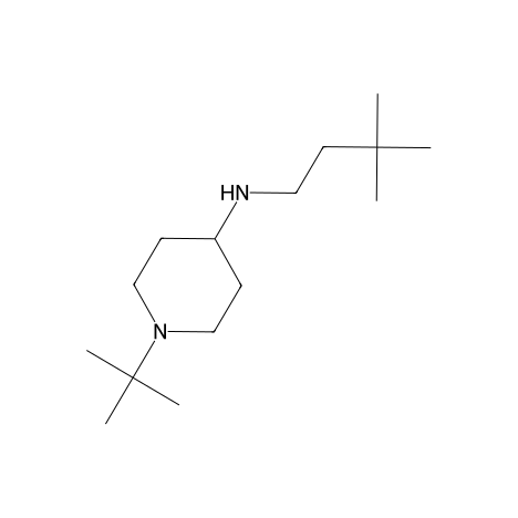 CC(C)(C)CCNC1CCN(C(C)(C)C)CC1